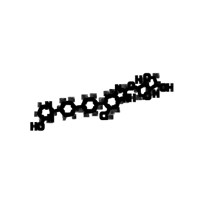 Oc1ccnc(-c2ccc(-c3ccc(-c4cc5nc(O[C@@H]6CO[C@H]7[C@@H]6OC[C@H]7O)[nH]c5cc4Cl)cc3)cc2)n1